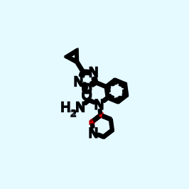 NC(=O)N(c1ccccc1-c1nc(C2CC2)no1)C1CN2CCC1CC2